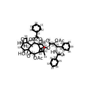 CC(=O)O[C@H]1C(=O)[C@@]2(C)[C@H]([C@H](OC(=O)c3ccccc3)[C@]3(O)CC(OC(=O)[C@H](OC(C)=O)[C@@H](NC(=O)c4ccccc4)c4ccccc4)C(C)=C1C3(C)C)[C@]1(OC(C)=O)CO[C@@H]1C[C@@H]2O